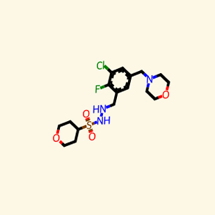 O=S(=O)(NNCc1cc(CN2CCOCC2)cc(Cl)c1F)C1CCOCC1